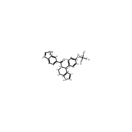 O=C(c1ccc2nc[nH]c2c1)N1CCc2sccc2C1c1ccc(OC(F)(F)F)cc1